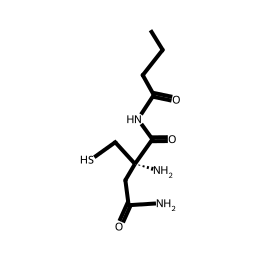 CCCC(=O)NC(=O)[C@](N)(CS)CC(N)=O